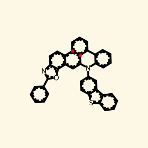 c1ccc(-c2nc3ccc4ccc(N(c5ccc6sc7ccccc7c6c5)c5ccccc5-c5ccccc5)cc4c3o2)cc1